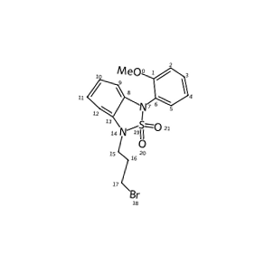 COc1ccccc1N1c2ccccc2N(CCCBr)S1(=O)=O